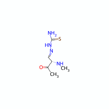 CN[C@@H](/C=N/NC(N)=S)C(C)=O